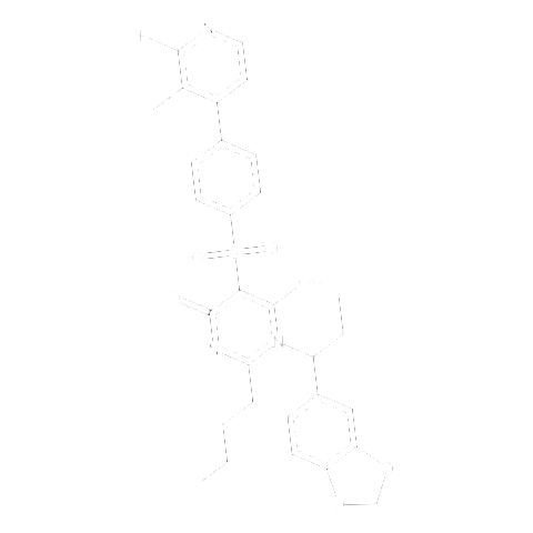 CCCCc1nc(=O)c(S(=O)(=O)c2ccc(-c3ccnc(F)c3C)cc2)c(O)n1C(CC)c1ccc2c(c1)OCO2